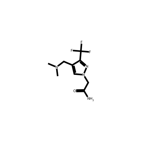 CN(C)Cc1cn(CC(N)=O)nc1C(F)(F)F